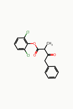 CC(C(=O)Cc1ccccc1)C(=O)Oc1c(Cl)cccc1Cl